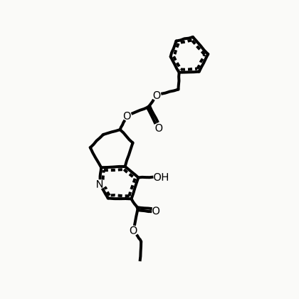 CCOC(=O)c1cnc2c(c1O)CC(OC(=O)OCc1ccccc1)CC2